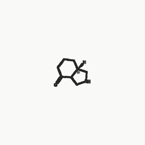 O=C1CCC[C@@H]2CNCC12